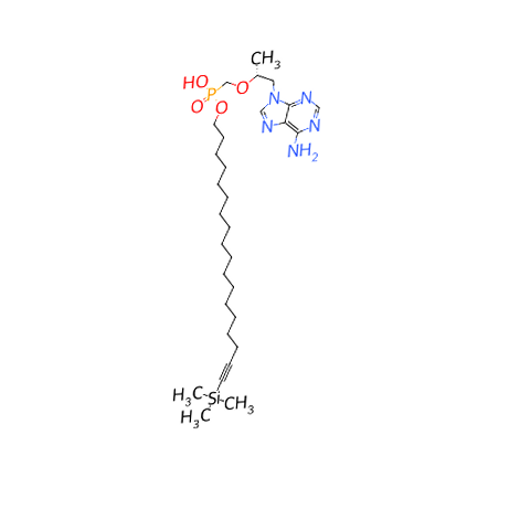 C[C@H](Cn1cnc2c(N)ncnc21)OCP(=O)(O)OCCCCCCCCCCCCCCCCC#C[Si](C)(C)C